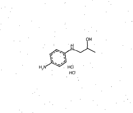 CC(O)CNc1ccc(N)cc1.Cl.Cl